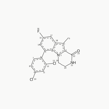 Cc1c2n(c3c(-c4ccc(Cl)cc4Cl)cc(F)cc13)CCNC2=O